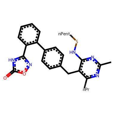 CCCCCSNc1nc(C)nc(CCC)c1Cc1ccc(-c2ccccc2-c2noc(=O)[nH]2)cc1